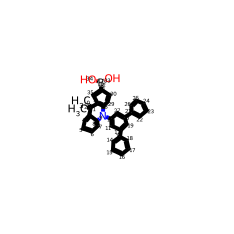 CC1(C)c2ccccc2N(c2cc(-c3ccccc3)cc(-c3ccccc3)c2)c2ccc(B(O)O)cc21